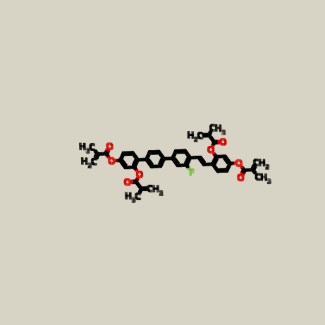 C=C(C)C(=O)Oc1ccc(/C=C/c2ccc(-c3ccc(-c4ccc(OC(=O)C(=C)C)cc4OC(=O)C(=C)C)cc3)cc2F)c(OC(=O)C(=C)C)c1